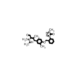 CNN(C)/C(C=O)=C(/C)Cc1ccc(OCc2ccccc2-n2nnn(C)c2=O)c(C)c1